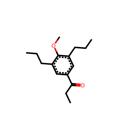 CCCc1cc(C(=O)CC)cc(CCC)c1OC